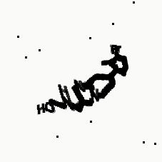 Cc1c(Br)cccc1C1=CC2=NC=C(CNCCO)CN2C=C1